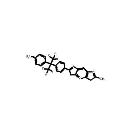 CC1=NC2=[C](C1)[Y]=[C]1CC(c3ccc(C(c4ccc(C)cc4)(C(F)(F)F)C(F)(F)F)cc3)=NC1=C2